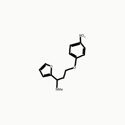 CNC(CCOc1ccc([N+](=O)[O-])cc1)c1ccco1